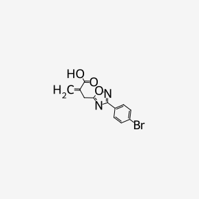 C=C(Cc1nc(-c2ccc(Br)cc2)no1)C(=O)O